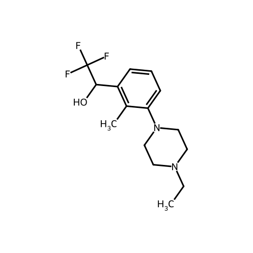 CCN1CCN(c2cccc(C(O)C(F)(F)F)c2C)CC1